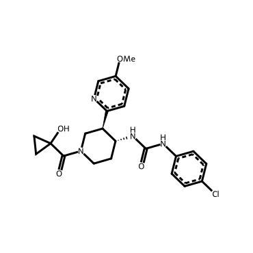 COc1ccc([C@@H]2CN(C(=O)C3(O)CC3)CC[C@H]2NC(=O)Nc2ccc(Cl)cc2)nc1